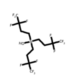 O[Si](CCC(F)(F)C(F)(F)F)(CCC(F)(F)C(F)(F)F)CCC(F)(F)C(F)(F)F